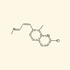 C/N=C/C=C\c1ccc2ccc(Cl)nc2c1C